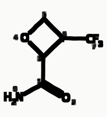 NC(=O)C1OC[C]1C(F)(F)F